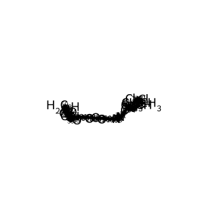 C#Cc1ccc2cc(OCCCN3CCN(CCCCCCOCCOCCOCCCCCC(=O)Nc4cccc5c4C(=O)N(C4CCC(=C)CC4=O)C5=O)CC3)c(OC)cc2c1Cc1cc(OC)c(Cl)cc1Cl